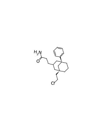 NC(=O)CCC1C[C@@]2(CCCl)CCC[C@@](c3ccccc3)(C1)C2